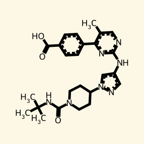 Cc1cnc(Nc2cnn(C3CCN(C(=O)NC(C)(C)C)CC3)c2)nc1-c1ccc(C(=O)O)cc1